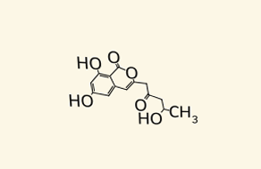 CC(O)CC(=O)Cc1cc2cc(O)cc(O)c2c(=O)o1